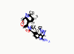 CCN(C(=O)c1ccc2nc(N)c3cnn(C)c3c2c1)[C@H]1COCc2nc(C(F)(F)F)ccc21